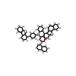 c1cc(-c2cccc3ccccc23)cc(N(c2ccc(-c3cccc4c3oc3ccccc34)cc2)c2ccccc2-c2cccc3oc4c5ccccc5ccc4c23)c1